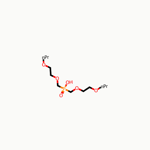 CCCOCCOCP(=O)(O)COCCOCCC